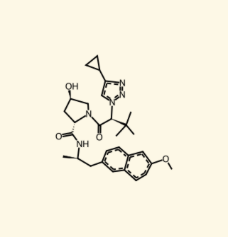 COc1ccc2cc(C[C@@H](C)NC(=O)[C@@H]3C[C@@H](O)CN3C(=O)[C@@H](n3cc(C4CC4)nn3)C(C)(C)C)ccc2c1